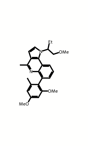 CCC(COC)n1ccc2c(C)nc3c(-c4c(C)cc(OC)cc4OC)cccc3c21